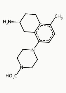 Cc1ccc(N2CCN(C(=O)O)CC2)c2c1CC[C@@H](N)C2